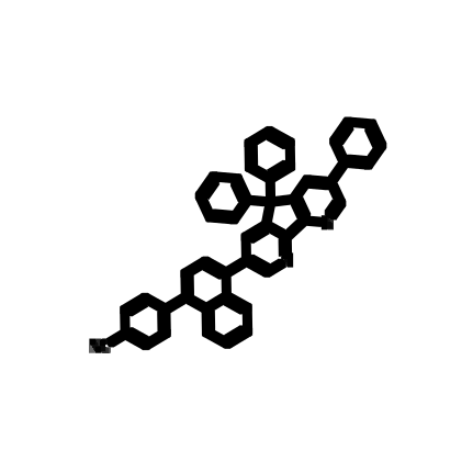 N#Cc1ccc(-c2ccc(-c3cnc4c(c3)C(c3ccccc3)(c3ccccc3)c3cc(-c5ccccc5)cnc3-4)c3ccccc23)cc1